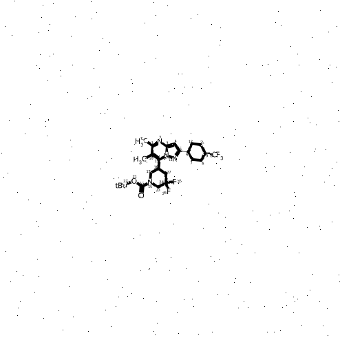 Cc1nc2cc([C@H]3CC[C@H](C(F)(F)F)CC3)nn2c(C2CN(C(=O)OC(C)(C)C)CC(F)(F)C2)c1C